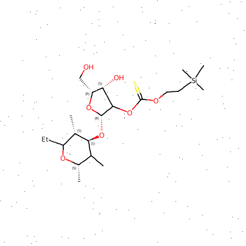 CCC1O[C@@H](C)C(C)[C@H](O[C@@H]2O[C@H](CO)[C@H](O)C2OC(=S)OCC[Si](C)(C)C)[C@H]1C